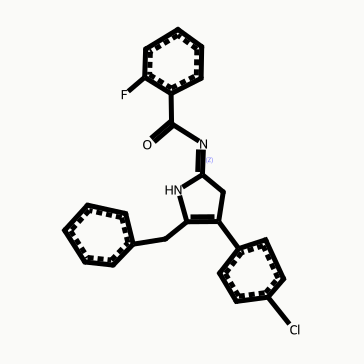 O=C(/N=C1/CC(c2ccc(Cl)cc2)=C(Cc2ccccc2)N1)c1ccccc1F